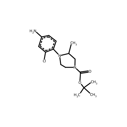 CC1CN(C(=O)OC(C)(C)C)CCN1c1ccc(N)cc1Cl